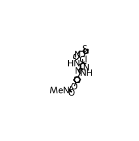 CNC(=O)COc1ccc(-c2nc3c(NC4CCN(Cc5sccc5C)C4)c(Cl)cnc3[nH]2)cc1